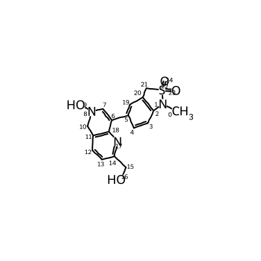 CN1c2ccc(C3=CN(O)Cc4ccc(CO)nc43)cc2CS1(=O)=O